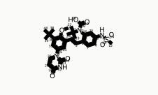 COc1c(C=Cc2ccc(NS(C)(=O)=O)cc2N(C(=O)O)C(C)(C)C)cc(-n2ccc(=O)[nH]c2=O)cc1C(C)(C)C